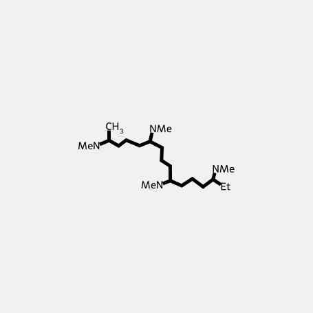 [CH2]CC(CCCC(CCCC(CCCC(C)NC)NC)NC)NC